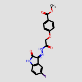 COC(=O)c1ccc(OCC(=O)N/N=C2\C(=O)Nc3ccc(I)cc32)cc1